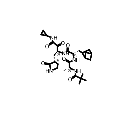 C[C@@H](NC(=O)C(C)(C)C)C(=O)N[C@@H](CC1CC2CC1C2)C(=O)N[C@@H](C[C@@H]1CCNC1=O)C(=O)C(=O)NC1CC1